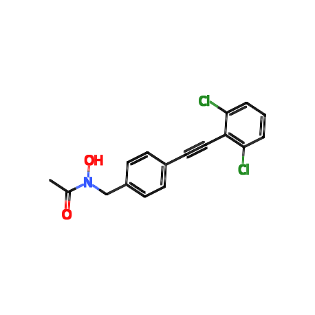 CC(=O)N(O)Cc1ccc(C#Cc2c(Cl)cccc2Cl)cc1